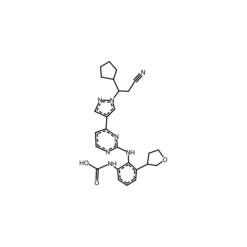 N#CCC(C1CCCC1)n1cc(-c2ccnc(Nc3c(NC(=O)O)cccc3C3CCOC3)n2)cn1